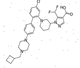 O=C(O)c1cnn(C2CCCN(c3cc(Cl)ccc3-c3ccc(N4CCN(CC5CCC5)CC4)cc3)C2)c1C(F)F